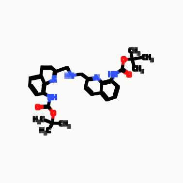 CC(C)(C)OC(=O)Nc1cccc2ccc(CNCc3ccc4cccc(NC(=O)OC(C)(C)C)c4n3)nc12